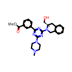 COC(=O)c1cccc(-c2nc(N3CCN(C)CC3)nc(N3Cc4ccccc4C[C@@H]3CO)n2)c1